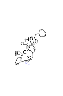 O=C(Cc1ccccc1)NC1C(=O)N2C(C(=O)O)=C(CS/C=C\c3cccnc3)CS[C@@H]12